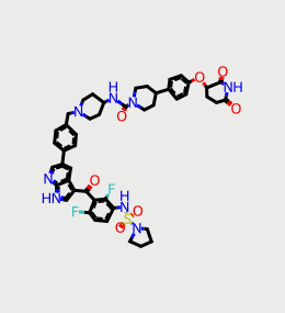 O=C1CCC(Oc2ccc(C3CCN(C(=O)NC4CCN(Cc5ccc(-c6cnc7[nH]cc(C(=O)c8c(F)ccc(NS(=O)(=O)N9CCCC9)c8F)c7c6)cc5)CC4)CC3)cc2)C(=O)N1